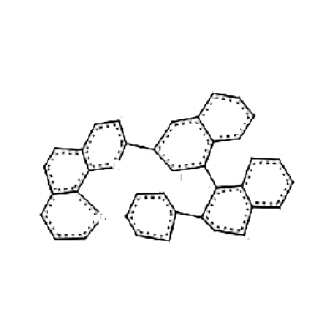 Oc1c(-c2ccc3ccc4cccnc4c3n2)cc2ccccc2c1-c1c(-c2ccccc2)ccc2ccccc12